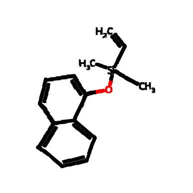 C=C[Si](C)(C)Oc1cccc2ccccc12